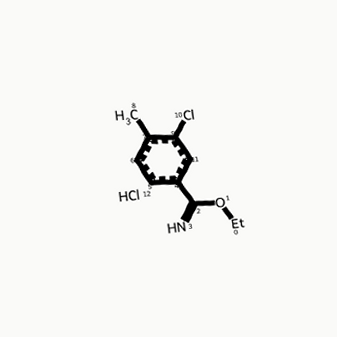 CCOC(=N)c1ccc(C)c(Cl)c1.Cl